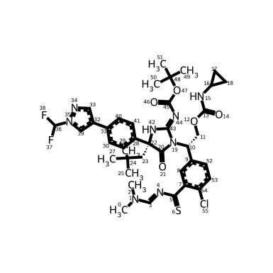 CN(C)C=NC(=S)c1cc([C@@H](COC(=O)NC2CC2)N2C(=O)[C@@](CC(C)(C)C)(c3ccc(-c4cnn(C(F)F)c4)cc3)NC2=NC(=O)OC(C)(C)C)ccc1Cl